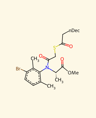 CCCCCCCCCCCC(=O)SCC(=O)N(c1c(C)ccc(Br)c1C)[C@@H](C)C(=O)OC